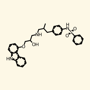 CC(CNCC(O)COc1cccc2[nH]c3ccccc3c12)Cc1ccc(NS(=O)(=O)c2ccccc2)cc1